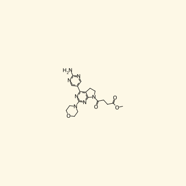 COC(=O)CCC(=O)N1CCc2c(-c3cnc(N)nc3)nc(N3CCOCC3)nc21